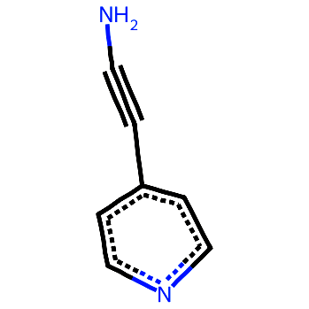 NC#Cc1ccncc1